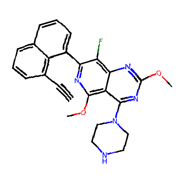 C#Cc1cccc2cccc(-c3nc(OC)c4c(N5CCNCC5)nc(OC)nc4c3F)c12